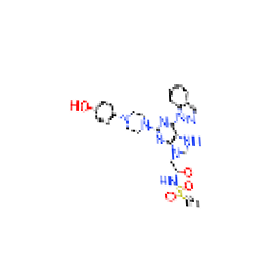 CC(C)S(=O)(=O)NC(=O)CN1CNc2c1nc(N1CCN(c3ccc(O)cc3)CC1)nc2-n1ncc2ccccc21